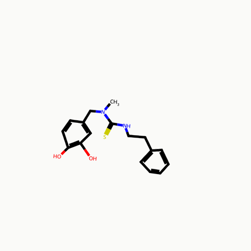 CN(Cc1ccc(O)c(O)c1)C(=S)NCCc1ccccc1